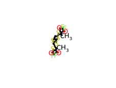 Cc1c(-c2cc3sc4cc(-c5sc6c(c5C)C(=O)C(F)(F)C6=O)sc4c3s2)sc2c1C(=O)C(F)(F)C2=O